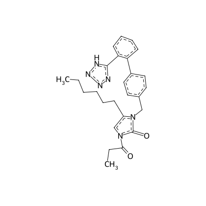 CCCCCCc1cn(C(=O)CC)c(=O)n1Cc1ccc(-c2ccccc2-c2nnn[nH]2)cc1